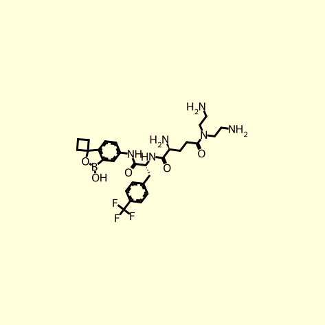 NCCN(CCN)C(=O)CC[C@H](N)C(=O)N[C@H](Cc1ccc(C(F)(F)F)cc1)C(=O)Nc1ccc2c(c1)B(O)OC21CCC1